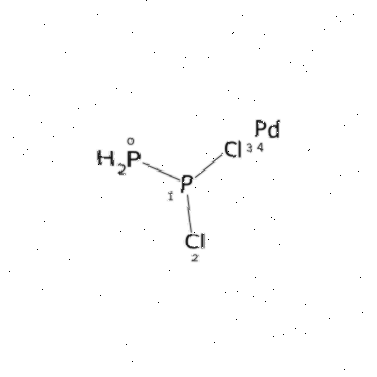 PP(Cl)Cl.[Pd]